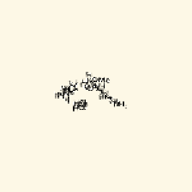 COC(NC(=O)CCCc1ccc(NC(=N)N)cc1)C(=O)NCCCCNCCCN.Cl.Cl.Cl